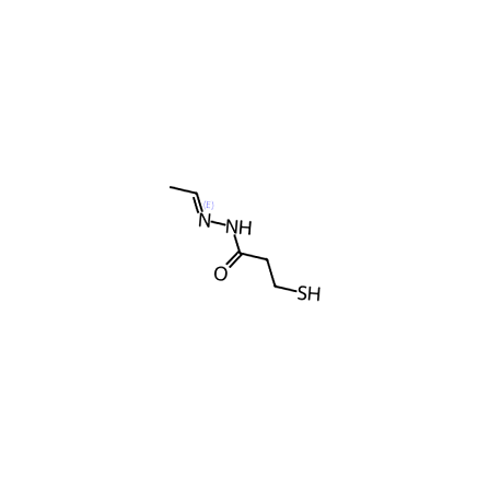 C/C=N/NC(=O)CCS